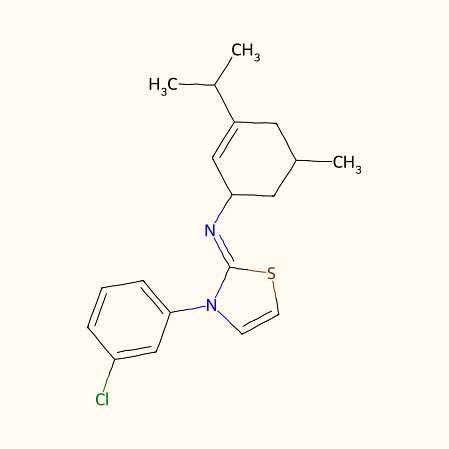 CC1CC(C(C)C)=CC(N=c2sccn2-c2cccc(Cl)c2)C1